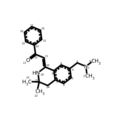 CN(C)Cc1ccc2c(c1)C(=CC(=O)c1ccccc1)NC(C)(C)C2